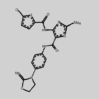 CSc1nc(NC(=O)c2ccc(Cl)s2)c(C(=O)Nc2ccc(N3CCOC3=N)cc2)s1